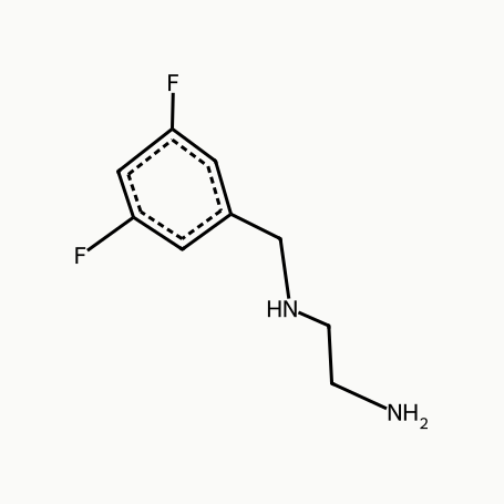 NCCNCc1cc(F)cc(F)c1